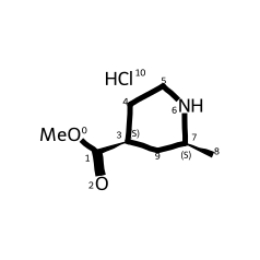 COC(=O)[C@H]1CCN[C@@H](C)C1.Cl